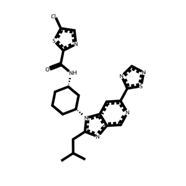 CC(C)Cc1nc2cnc(-c3ncns3)cc2n1[C@@H]1CCC[C@H](NC(=O)c2ncc(Cl)s2)C1